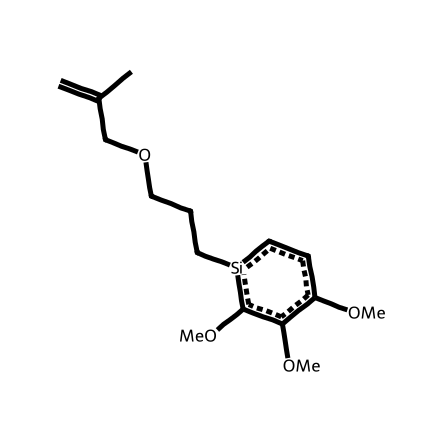 C=C(C)COCCC[si]1ccc(OC)c(OC)c1OC